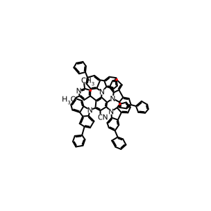 Cc1cc(-c2c(-n3c4ccccc4c4cc(-c5ccccc5)ccc43)c(C#N)c(-n3c4ccccc4c4cc(-c5ccccc5)ccc43)c(-n3c4ccccc4c4cc(-c5ccccc5)ccc43)c2-n2c3ccccc3c3cc(-c4ccccc4)ccc32)cc(C)n1